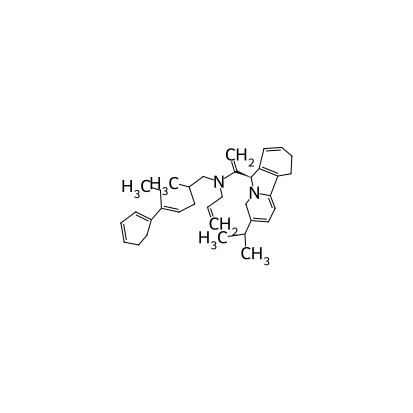 C=CCN(CC(C)C/C=C(\CC)C1=CC=CCC1)C(=C)[C@H]1C2=C(CCC=C2)C2=CC=C(C(C)C)CN21